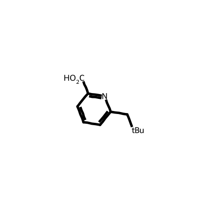 CC(C)(C)Cc1cccc(C(=O)O)n1